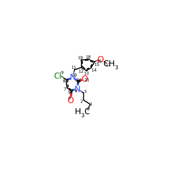 CCCCn1c(=O)cc(Cl)n(Cc2ccc(OC)cc2)c1=O